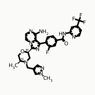 C[C@H]1CO[C@@H](c2nc(-c3ccc(C(=O)Nc4cc(C(F)(F)F)ccn4)cc3F)c3c(N)nccn23)CN1Cc1cnn(C)c1